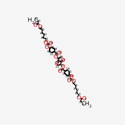 C=CC(=O)OCCCCCCOC(=O)Oc1ccc(C(=O)OC2COC3C2OC[C@@H]3OC(=O)c2ccc(OC(=O)OCCCCCCOC(=O)C=C)cc2)cc1